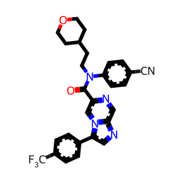 N#Cc1ccc(N(CCC2CCOCC2)C(=O)c2cn3c(-c4ccc(C(F)(F)F)cc4)cnc3cn2)cc1